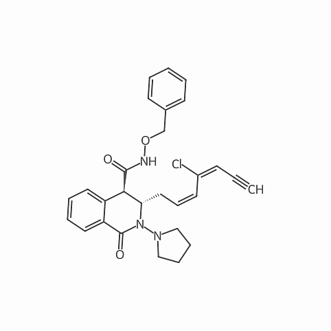 C#C/C=C(Cl)\C=C/C[C@H]1[C@H](C(=O)NOCc2ccccc2)c2ccccc2C(=O)N1N1CCCC1